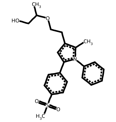 Cc1c(CCOC(C)CO)cc(-c2ccc(S(C)(=O)=O)cc2)n1-c1ccccc1